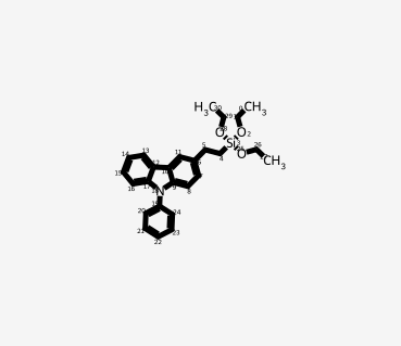 CCO[Si](CCc1ccc2c(c1)c1ccccc1n2-c1ccccc1)(OCC)OCC